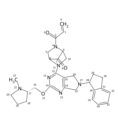 C=CC(=O)N1CC2C(=O)C1CN2c1nc(OC[C@@H]2CCCN2C)nc2c1CN(C1CCc3ccccc31)C2